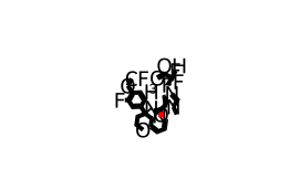 Cn1cncc1C(=O)N[C@]1(c2ccc(OC(F)(F)F)c(F)c2)CCOc2cccnc21.O=C(O)C(F)(F)F